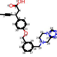 CC#C[C@@H](CC(=O)O)c1ccc(OCc2cccc(CN3CCn4cnnc4C3)c2)cc1